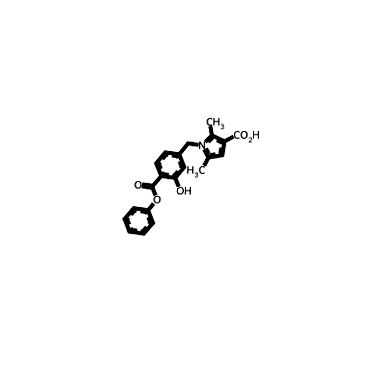 Cc1cc(C(=O)O)c(C)n1Cc1ccc(C(=O)Oc2ccccc2)c(O)c1